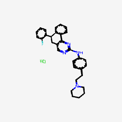 Cl.Fc1ccccc1C1Cc2cnc(Nc3ccc(CCN4CCCCC4)cc3)nc2-c2ccccc21